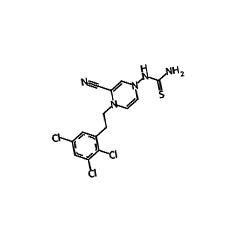 N#CC1=CN(NC(N)=S)C=CN1CCc1cc(Cl)cc(Cl)c1Cl